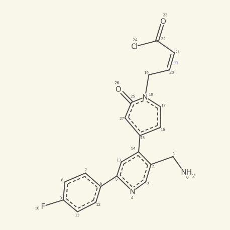 NCc1cnc(-c2ccc(F)cc2)cc1-c1ccn(C/C=C\C(=O)Cl)c(=O)c1